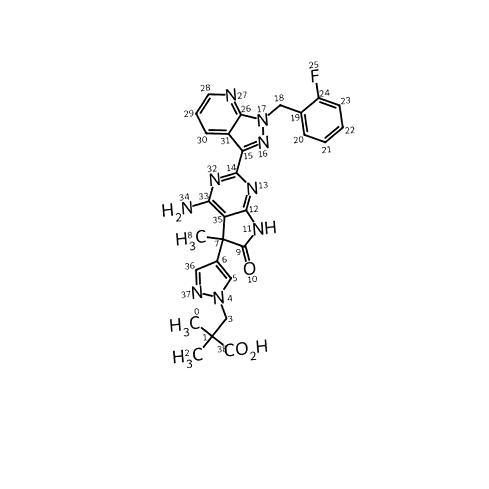 CC(C)(Cn1cc(C2(C)C(=O)Nc3nc(-c4nn(Cc5ccccc5F)c5ncccc45)nc(N)c32)cn1)C(=O)O